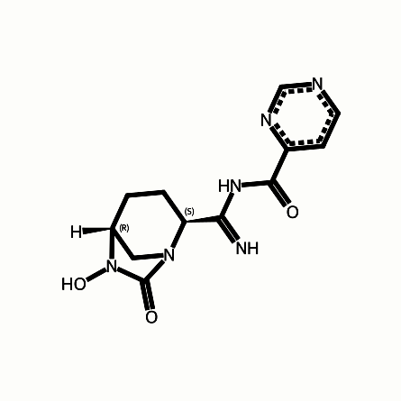 N=C(NC(=O)c1ccncn1)[C@@H]1CC[C@@H]2CN1C(=O)N2O